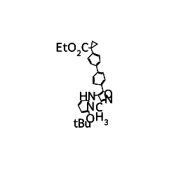 CCOC(=O)C1(c2ccc(-c3ccc(-c4onc(C)c4Nc4cccc(OC(C)(C)C)n4)cc3)cc2)CC1